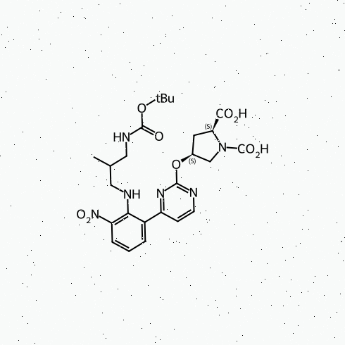 CC(CNC(=O)OC(C)(C)C)CNc1c(-c2ccnc(O[C@H]3C[C@@H](C(=O)O)N(C(=O)O)C3)n2)cccc1[N+](=O)[O-]